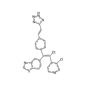 CCC(=C(c1ccc(C=Cc2nn[nH]n2)cc1)c1ccc2scnc2c1)c1ccncc1Cl